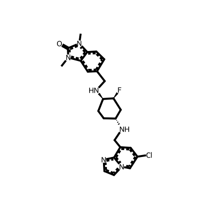 Cn1c(=O)n(C)c2cc(CN[C@@H]3CC[C@@H](NCc4cc(Cl)cn5ccnc45)C[C@@H]3F)ccc21